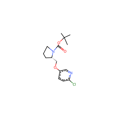 CC(C)(C)OC(=O)N1CCC[C@H]1COc1ccc(Cl)nc1